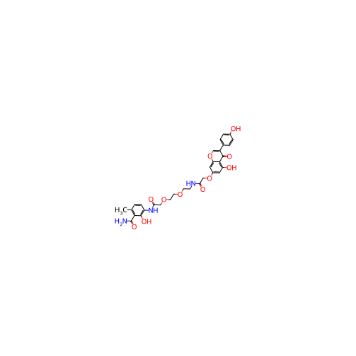 Cc1ccc(NC(=O)COCCOCCNC(=O)COc2cc(O)c3c(=O)c(-c4ccc(O)cc4)coc3c2)c(O)c1C(N)=O